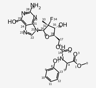 COC(=O)C(C)N(Oc1ccccc1)[PH](=O)OC[C@H]1O[C@@H](n2cnc3c(O)nc(N)nc32)[C@](C)(F)[C@@H]1O